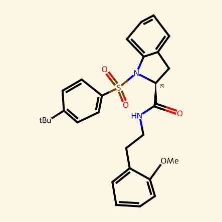 COc1ccccc1CCNC(=O)[C@@H]1Cc2ccccc2N1S(=O)(=O)c1ccc(C(C)(C)C)cc1